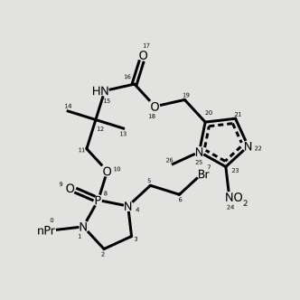 CCCN1CCN(CCBr)P1(=O)OCC(C)(C)NC(=O)OCc1cnc([N+](=O)[O-])n1C